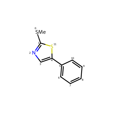 CSc1ncc(-c2ccccc2)s1